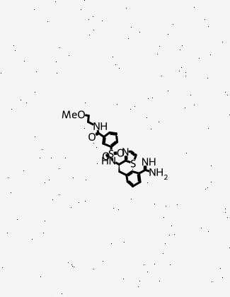 COCCNC(=O)c1cccc(S(=O)(=O)N[C@H](Cc2cccc(C(=N)N)c2)c2nccs2)c1